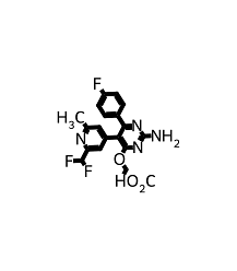 Cc1cc(-c2c(OCC(=O)O)nc(N)nc2-c2ccc(F)cc2)cc(C(F)F)n1